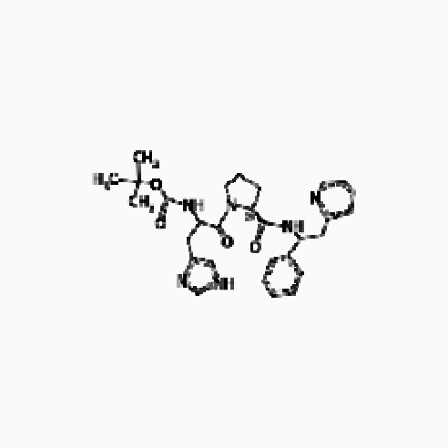 CC(C)(C)OC(=O)NC(Cc1c[nH]cn1)C(=O)N1CCC[C@H]1C(=O)NC(Cc1ccccn1)c1ccccc1